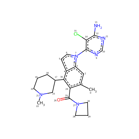 Cc1cc2c(ccn2-c2ncnc(N)c2Cl)c(C2CCCN(C)C2)c1C(=O)N1CCC1